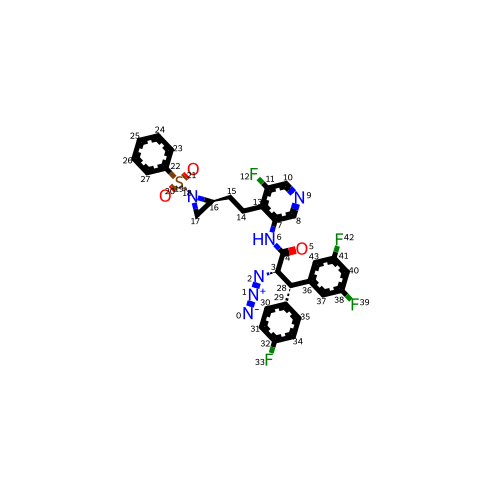 [N-]=[N+]=N[C@H](C(=O)Nc1cncc(F)c1CC[C@H]1C[N@]1S(=O)(=O)c1ccccc1)[C@@H](c1ccc(F)cc1)c1cc(F)cc(F)c1